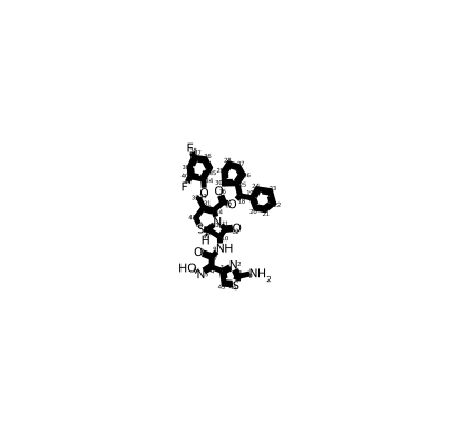 Nc1nc(/C(=N/O)C(=O)NC2C(=O)N3C(C(=O)OC(c4ccccc4)c4ccccc4)=C(COc4ccc(F)cc4F)CS[C@H]23)cs1